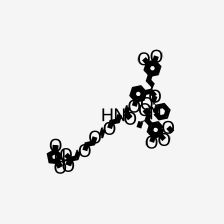 CC[C@H](C(=O)N1CCCC[C@H]1C(=O)O[C@H](CCc1ccc(OC)c(OC)c1)c1cccc(OCC(=O)NCCOCCOCCOCCC(=O)ON2C(=O)CCC2=O)c1)c1cc(OC)c(OC)c(OC)c1